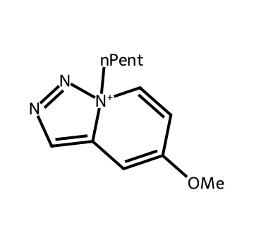 CCCCC[N+]12C=CC(OC)=CC1=CN=N2